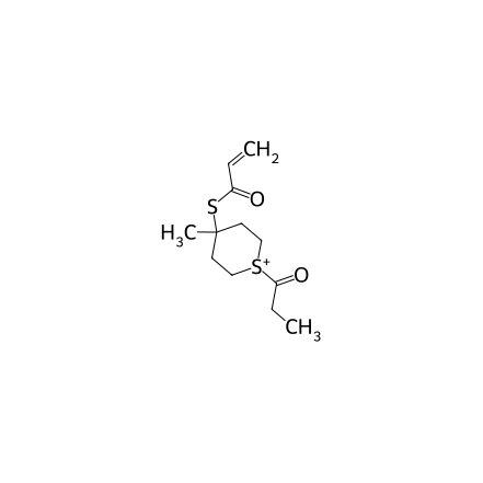 C=CC(=O)SC1(C)CC[S+](C(=O)CC)CC1